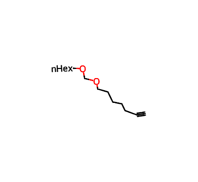 C#CCCCCCOCOCCCCCC